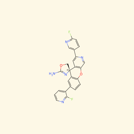 NC1=N[C@@]2(CO1)c1cc(-c3cccnc3F)ccc1Oc1cnc(-c3ccc(F)nc3)cc12